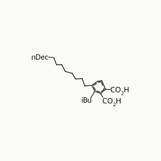 CCCCCCCCCCCCCCCCCCc1ccc(C(=O)O)c(C(=O)O)c1C(C)CC